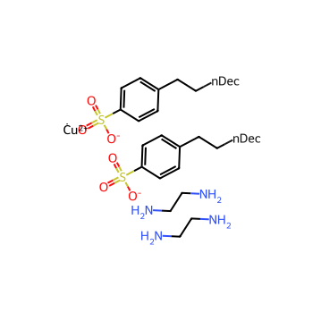 CCCCCCCCCCCCc1ccc(S(=O)(=O)[O-])cc1.CCCCCCCCCCCCc1ccc(S(=O)(=O)[O-])cc1.NCCN.NCCN.[Cu+2]